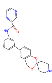 O=C(Nc1cccc(-c2ccc3c(c2)COC2(CCNCC2)O3)c1)c1cnccn1